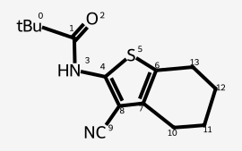 CC(C)(C)C(=O)Nc1sc2c(c1C#N)CCCC2